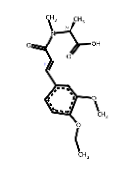 CCOc1ccc(/C=C/C(=O)N(C)[C@@H](C)C(=O)O)cc1OC